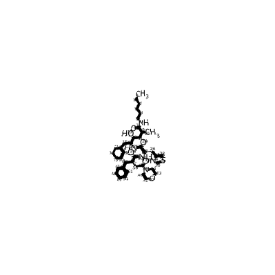 CCCCCCNC(=O)C(C)CC(O)C(CC1CCCCC1)NC(=O)[C@H](Cc1cscn1)NC(=O)[C@@H](CC(=O)N1CCOCC1)Cc1ccccc1